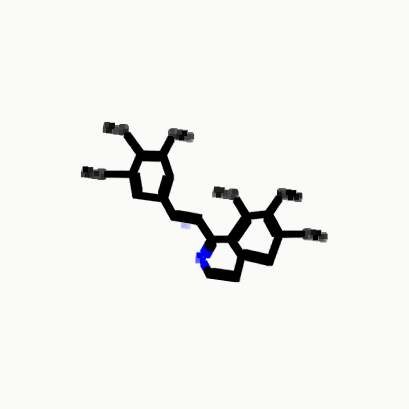 COc1cc(/C=C/c2nccc3cc(OC)c(OC)c(OC)c23)cc(OC)c1OC